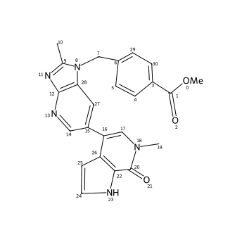 COC(=O)c1ccc(Cn2c(C)nc3ncc(-c4cn(C)c(=O)c5[nH]ccc45)cc32)cc1